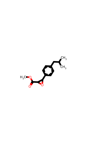 COC(=O)C1OC1c1ccc(CC(C)C)cc1